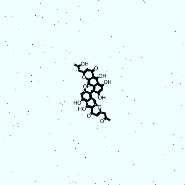 CC(=O)Cc1cc(=O)c2c(O)c3c(O)cc(O)c(-c4c(O)cc(O)c5c(O)c6c(=O)cc(CC(C)O)oc6cc45)c3cc2o1